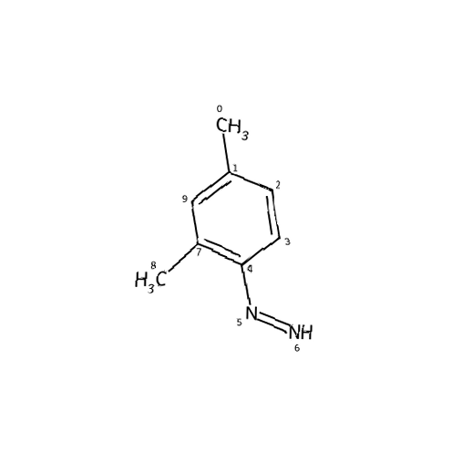 Cc1ccc(N=N)c(C)c1